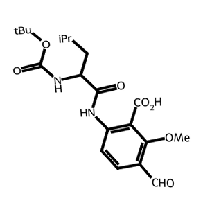 COc1c(C=O)ccc(NC(=O)C(CC(C)C)NC(=O)OC(C)(C)C)c1C(=O)O